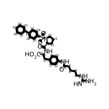 N=C(N)NCCCCC(=O)Nc1ccc(C[C@H](NC(=O)[C@@H]2CCCN2S(=O)(=O)c2ccc(-c3ccccc3)cc2)C(=O)O)cc1